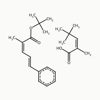 CC(=CC(C)(C)C)C(=O)O.CC(=CC=Cc1ccccc1)C(=O)OC(C)(C)C